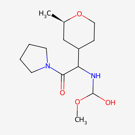 COC(O)NC(C(=O)N1CCCC1)C1CCO[C@H](C)C1